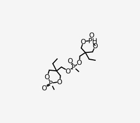 CCC1(COP(C)(=O)OCC2(CC)COP(C)(=O)OC2)CO[PH](=O)OC1